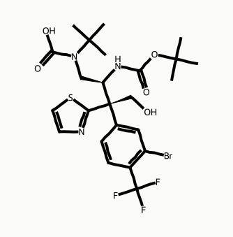 CC(C)(C)OC(=O)N[C@H](CN(C(=O)O)C(C)(C)C)[C@](CO)(c1ccc(C(F)(F)F)c(Br)c1)c1nccs1